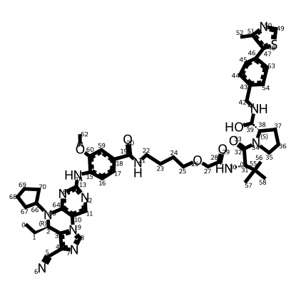 CC[C@@H]1c2c(C#N)ncn2-c2cnc(Nc3ccc(C(=O)NCCCCOCC(=O)N[C@H](C(=O)N4CCC[C@H]4C(O)NCc4ccc(-c5scnc5C)cc4)C(C)(C)C)cc3OC)nc2N1C1CCCC1